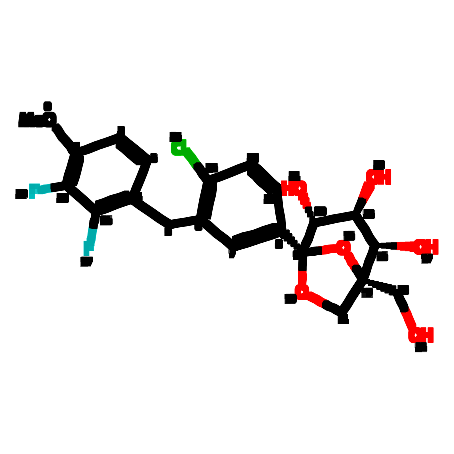 COc1ccc(Cc2cc([C@@]34OC[C@@](CO)(O3)[C@@H](O)[C@H](O)[C@H]4O)ccc2Cl)c(F)c1F